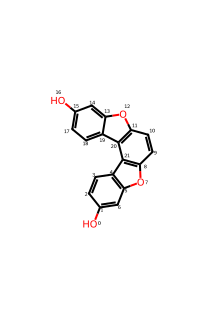 Oc1ccc2c(c1)oc1ccc3oc4cc(O)ccc4c3c12